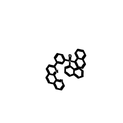 O=P(c1cccc(-c2ccc3ccc4cccnc4c3n2)c1)(c1cccc2ccccc12)c1cccc2ccccc12